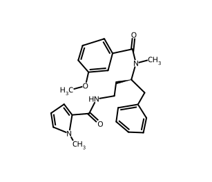 COc1cccc(C(=O)N(C)[C@H](CCNC(=O)c2cccn2C)Cc2ccccc2)c1